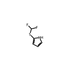 FC(F)Sc1ccc[nH]1